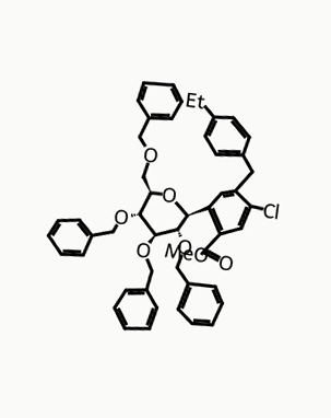 CCc1ccc(Cc2cc([C@@H]3O[C@H](COCc4ccccc4)[C@@H](OCc4ccccc4)[C@H](OCc4ccccc4)[C@H]3OCc3ccccc3)c(C(=O)OC)cc2Cl)cc1